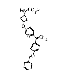 C=C(c1ccc(OCc2ccccc2)cc1)c1ccc(O[C@H]2C[C@H](NC(=O)O)C2)cn1